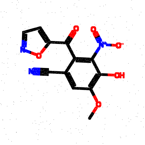 COc1cc(C#N)c(C(=O)c2ccno2)c([N+](=O)[O-])c1O